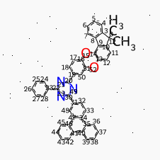 CC1(C)c2ccccc2-c2c1ccc1c2Oc2ccc(-c3nc(-c4ccccc4)nc(-c4ccc5c6ccccc6c6ccccc6c5c4)n3)cc2O1